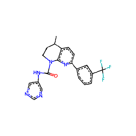 CC1CCN(C(=O)Nc2cncnc2)c2nc(-c3cccc(C(F)(F)F)c3)ccc21